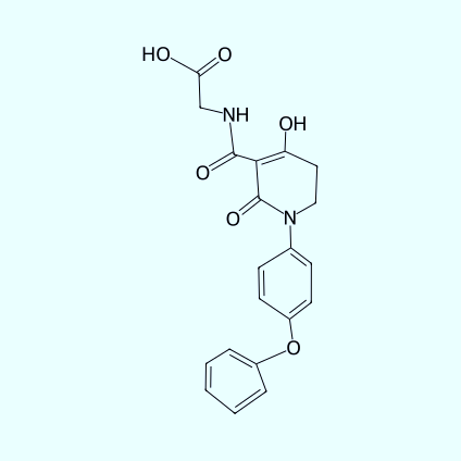 O=C(O)CNC(=O)C1=C(O)CCN(c2ccc(Oc3ccccc3)cc2)C1=O